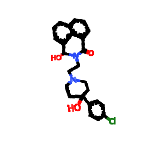 O=C1c2cccc3cccc(c23)C(O)N1CCN1CCC(O)(c2ccc(Cl)cc2)CC1